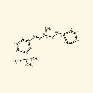 CC(C)(C)c1cncc(OC[C@@H](N)CSc2ncccn2)c1